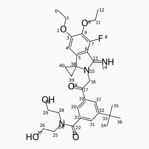 CCOc1cc2c(c(F)c1OCC)C(=N)N(CC(=O)c1cc(C(=O)N(CCO)CCO)cc(C(C)(C)C)c1)C21CC1